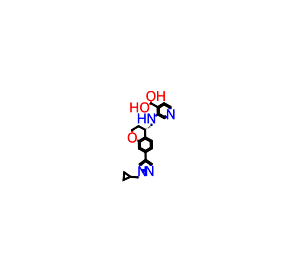 OC(O)c1ccncc1NC[C@H]1CCOc2cc(-c3cnn(CC4CC4)c3)ccc21